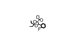 CCC1(CC)OC(c2ccccc2F)[C@H](C(=O)OC)O1